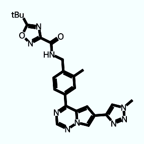 Cc1cc(-c2ncnn3cc(-c4cn(C)nn4)cc23)ccc1CNC(=O)c1noc(C(C)(C)C)n1